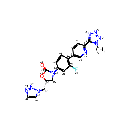 Cn1nnnc1-c1ccc(-c2ccc(N3C[C@H](Cn4ccnn4)OC3=O)cc2F)cn1